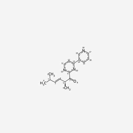 CC(C)/C=C/[C@H](C)C(=O)c1nccc(-c2cccnc2)n1